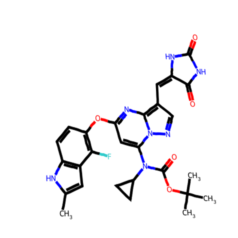 Cc1cc2c(F)c(Oc3cc(N(C(=O)OC(C)(C)C)C4CC4)n4ncc(C=C5NC(=O)NC5=O)c4n3)ccc2[nH]1